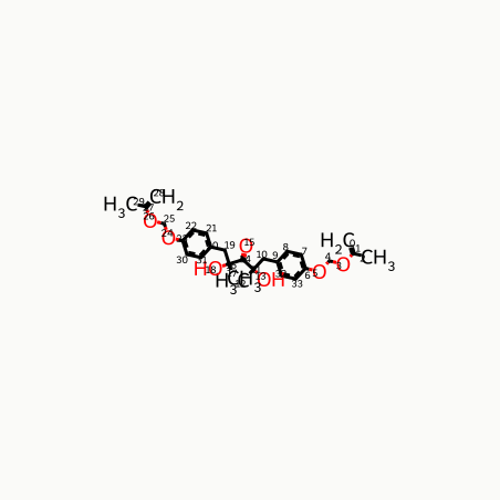 C=C(C)OCOc1ccc(CC(C)(O)C(=O)C(C)(O)Cc2ccc(OCOC(=C)C)cc2)cc1